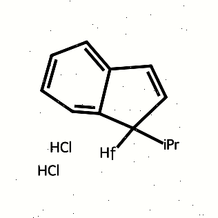 CC(C)[C]1([Hf])C=Cc2ccccc21.Cl.Cl